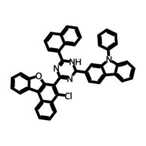 Clc1c(C2=NC(c3ccc4c5ccccc5n(-c5ccccc5)c4c3)NC(c3cccc4ccccc34)=N2)c2oc3ccccc3c2c2ccccc12